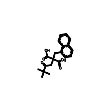 CC(C)(C)C(=O)CC(Cc1cccc2ccccc12)(C(=O)O)C(=O)O